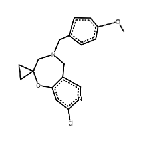 COc1ccc(CN2Cc3cnc(Cl)cc3OC3(CC3)C2)cc1